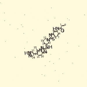 C=CC(=O)Nc1ccc2sc(N3CCCC(Nc4nc5ccc(-c6cn[nH]c6)c(C)n5n4)C3)nc2c1